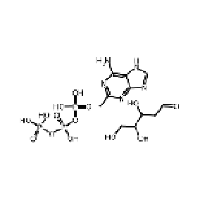 Cc1nc(N)c2[nH]cnc2n1.O=CCC(O)C(O)CO.O=P(O)(O)OP(=O)(O)OP(=O)(O)O